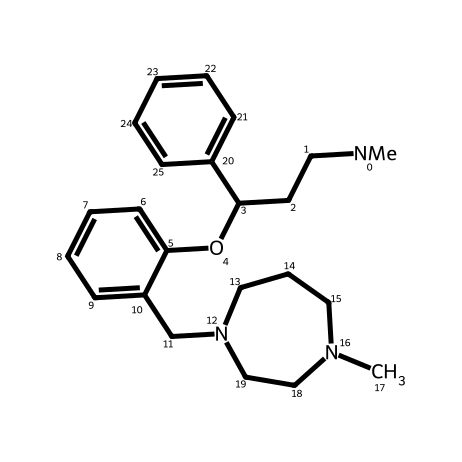 CNCCC(Oc1ccccc1CN1CCCN(C)CC1)c1ccccc1